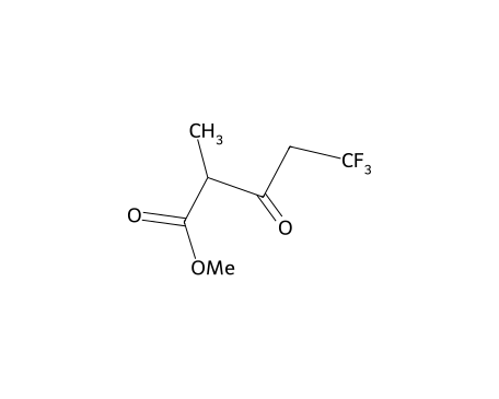 COC(=O)C(C)C(=O)CC(F)(F)F